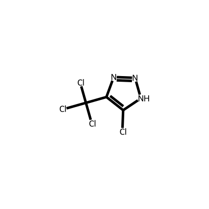 Clc1[nH]nnc1C(Cl)(Cl)Cl